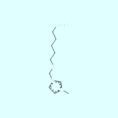 CCCCCCCCCCCCOC[n+]1ccn(C)c1